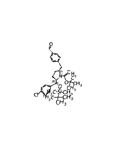 CC(C)(C)OC(=O)N1[C@H](Cc2ccc(C=O)cc2)CC[C@@H]1[C@H](O[Si](C)(C)C(C)(C)C)c1ccc(Cl)nc1